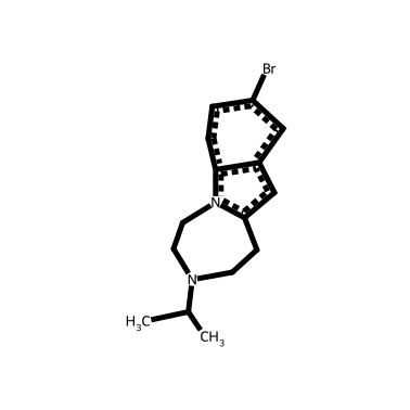 CC(C)N1CCc2cc3cc(Br)ccc3n2CC1